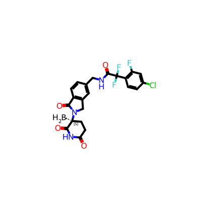 B[C@]1(N2Cc3cc(CNC(=O)C(F)(F)c4ccc(Cl)cc4F)ccc3C2=O)CCC(=O)NC1=O